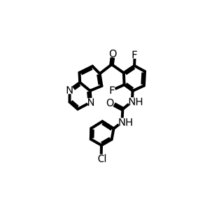 O=C(Nc1cccc(Cl)c1)Nc1ccc(F)c(C(=O)c2ccc3nccnc3c2)c1F